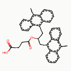 Cc1c2ccccc2c(CC(Cc2c3ccccc3c(C)c3ccccc23)OC(=O)CCC(=O)O)c2ccccc12